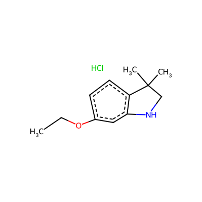 CCOc1ccc2c(c1)NCC2(C)C.Cl